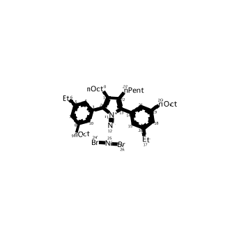 CCCCCCCCC1=C(c2cc(CC)cc(CCCCCCCC)c2)[N+](=[N-])C(c2cc(CC)cc(CCCCCCCC)c2)=C1CCCCC.[Br][Ni][Br]